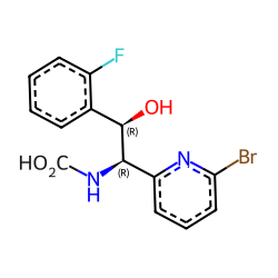 O=C(O)N[C@H](c1cccc(Br)n1)[C@H](O)c1ccccc1F